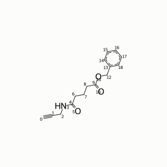 C#CCNC(=O)CCCC(=O)OCc1ccccc1